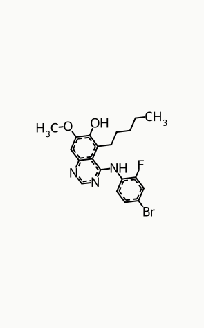 CCCCCc1c(O)c(OC)cc2ncnc(Nc3ccc(Br)cc3F)c12